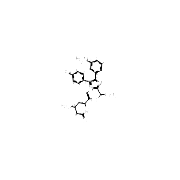 CC(C)c1nc(-c2cccc(N)c2)c(-c2ccc(F)cc2)n1C=CC1CC(O)CC(=O)O1